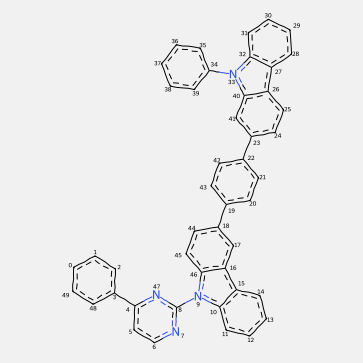 c1ccc(-c2ccnc(-n3c4ccccc4c4cc(-c5ccc(-c6ccc7c8ccccc8n(-c8ccccc8)c7c6)cc5)ccc43)n2)cc1